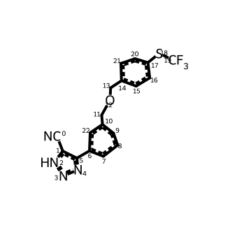 N#Cc1[nH]nnc1-c1cccc(COCc2ccc(SC(F)(F)F)cc2)c1